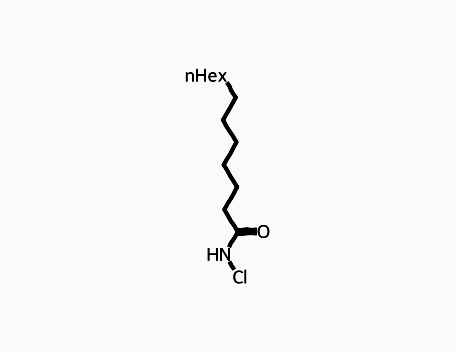 CCCCCCCCCCCCC(=O)NCl